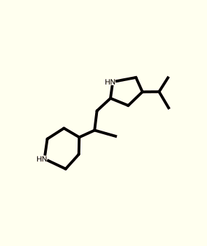 CC(C)C1CNC(CC(C)C2CCNCC2)C1